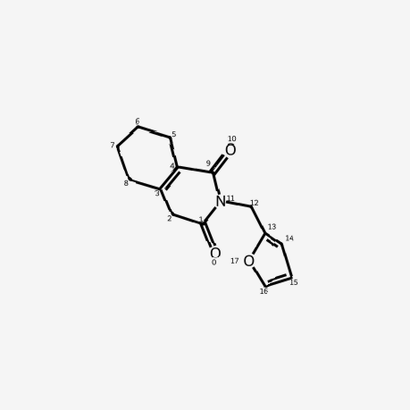 O=C1CC2=C(CCCC2)C(=O)N1Cc1ccco1